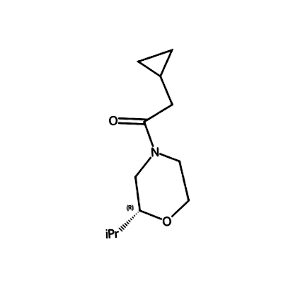 CC(C)[C@@H]1CN(C(=O)CC2CC2)CCO1